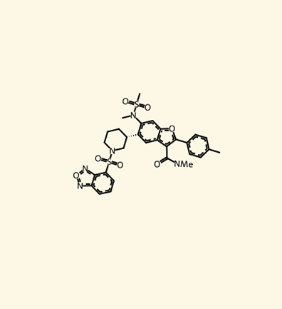 CNC(=O)c1c(-c2ccc(C)cc2)oc2cc(N(C)S(C)(=O)=O)c([C@H]3CCCN(S(=O)(=O)c4cccc5nonc45)C3)cc12